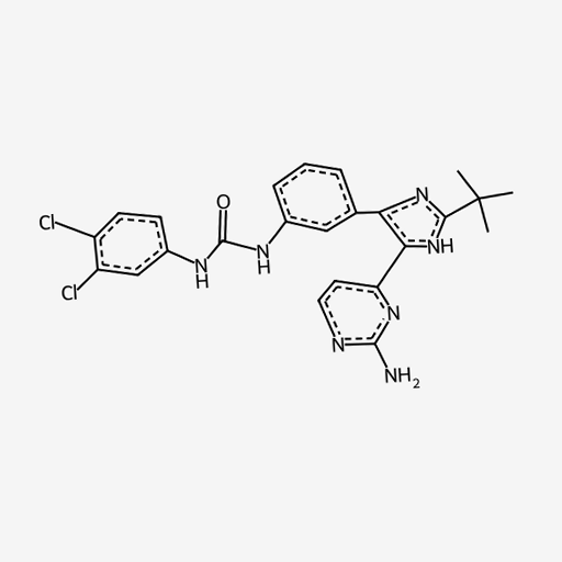 CC(C)(C)c1nc(-c2cccc(NC(=O)Nc3ccc(Cl)c(Cl)c3)c2)c(-c2ccnc(N)n2)[nH]1